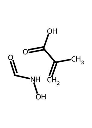 C=C(C)C(=O)O.O=CNO